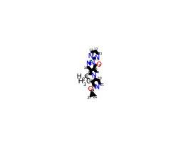 Cc1c(-n2cc3c(=O)n(-c4ncccn4)ncc3c2C)ccnc1OC1CC1